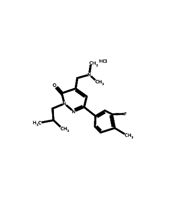 Cc1ccc(-c2cc(CN(C)C)c(=O)n(CC(C)C)n2)cc1F.Cl